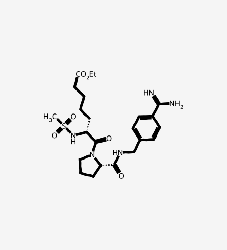 CCOC(=O)CCCC[C@@H](NS(C)(=O)=O)C(=O)N1CCC[C@H]1C(=O)NCc1ccc(C(=N)N)cc1